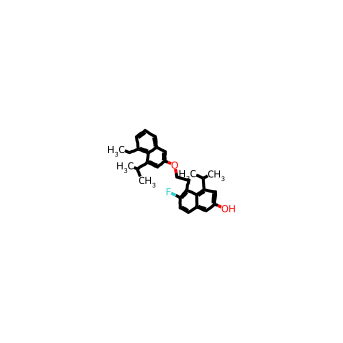 CCc1cccc2cc(OCCc3c(F)ccc4cc(O)cc(C(C)C)c34)cc(C(C)C)c12